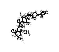 CSc1cc(C)[nH]c(=O)c1CNC(=O)c1cc(Cl)c2c(c1C)OC(C)(C1CCC(c3cccs3)CC1)O2